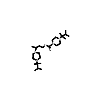 CC(CCOC(=O)N1CCN(C(C)(C)C(C)C)CC1)N1CCN(C(C)(C)C(C)C)CC1